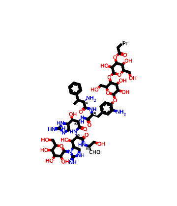 CC(C)CC(=O)OC1C(O)C(CO)OC(OC2C(CO)OC(Oc3ccc(C[C@H](NC(=O)[C@@H](N)C(C)c4ccccc4)C(=O)N[C@H](C(=O)N[C@H](C(=O)N[C@H]([C]=O)CO)C(O)C4CNC(=N)N4C4OC(CO)C(O)C(O)C4O)C(O)C4CNC(=N)N4)cc3N)C(O)C2O)C1O